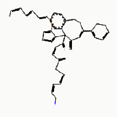 C=C(/C=C\C(=C)C1(C2=C=CC=C2S/C=C/C=C/C=C\C)C(=C\S)/C=C(/C2=CC=CCC2)CCc2ccccc21)C/C=C\C=C/CN